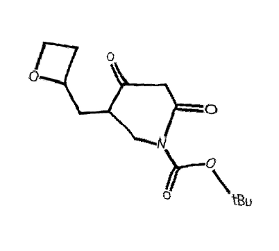 CC(C)(C)OC(=O)N1CC(CC2CCO2)C(=O)CC1=O